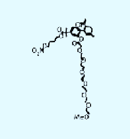 C=C(C)[C@@H]1CCC(C)=C[C@H]1c1c(O)cc(C(C)(C)C(=O)OCCCCO[N+](=O)[O-])cc1OC(=O)COCCOCCOCCOCCOCCOCCOC